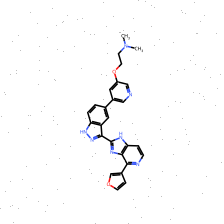 CN(C)CCOc1cncc(-c2ccc3[nH]nc(-c4nc5c(-c6ccoc6)nccc5[nH]4)c3c2)c1